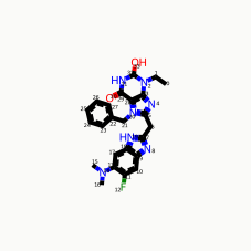 CCN1c2nc(Cc3nc4cc(F)c(N(C)C)cc4[nH]3)n(Cc3ccccc3)c2C(=O)NC1O